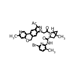 CC(=O)c1nn(CC(=O)N2[C@H](C(=O)Nc3nc(Br)ccc3C)C[C@@]3(C)C[C@@H]23)c2cc3c(cc12)-c1cnc(C)cc1OC3